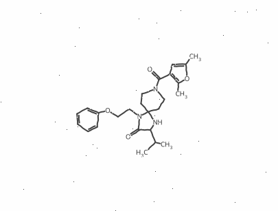 Cc1cc(C(=O)N2CCC3(CC2)NC(C(C)C)C(=O)N3CCOc2ccccc2)c(C)o1